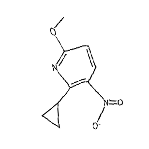 COc1ccc([N+](=O)[O-])c(C2CC2)n1